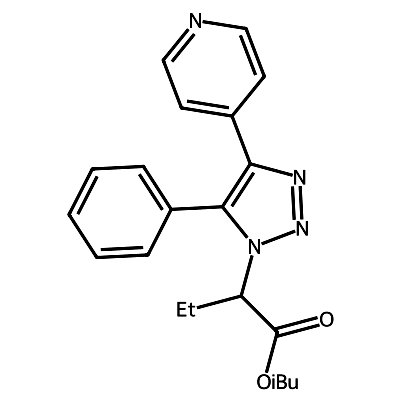 CCC(C(=O)OCC(C)C)n1nnc(-c2ccncc2)c1-c1ccccc1